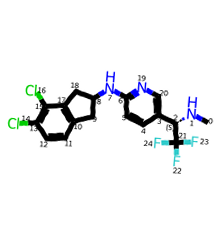 CN[C@@H](c1ccc(NC2Cc3ccc(Cl)c(Cl)c3C2)nc1)C(F)(F)F